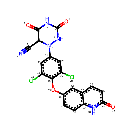 N#CC1C(=O)NC(=O)NN1c1cc(Cl)c(Oc2ccc3[nH]c(=O)ccc3c2)c(Cl)c1